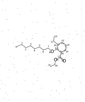 CCCCCCCCOc1c(CC)cccc1C(=O)OCC